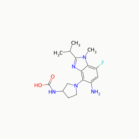 CC(C)c1nc2c(N3CCC(NC(=O)O)C3)c(N)cc(F)c2n1C